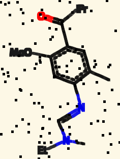 CCN(C)C=Nc1cc(OC)c(C(=O)C(C)C)cc1C